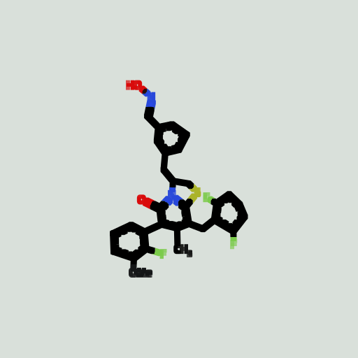 COc1cccc(-c2c(C)c(Cc3c(F)cccc3F)c3n(c2=O)C(Cc2cccc(/C=N/O)c2)CS3)c1F